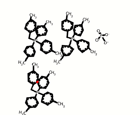 Cc1ccc(C[P+](c2ccc(C)cc2)(c2ccc(C)cc2)c2ccc(C)cc2)cc1.Cc1ccc(C[P+](c2ccc(C)cc2)(c2ccc(C)cc2)c2ccc(C)cc2)cc1.Cc1ccc(C[P+](c2ccc(C)cc2)(c2ccc(C)cc2)c2ccc(C)cc2)cc1.O=P([O-])([O-])[O-]